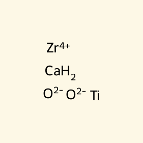 [CaH2].[O-2].[O-2].[Ti].[Zr+4]